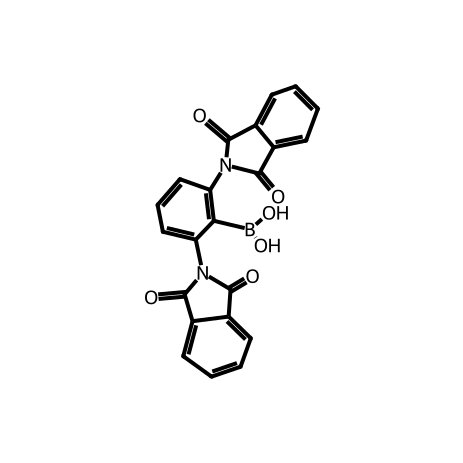 O=C1c2ccccc2C(=O)N1c1cccc(N2C(=O)c3ccccc3C2=O)c1B(O)O